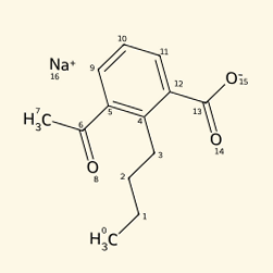 CCCCc1c(C(C)=O)cccc1C(=O)[O-].[Na+]